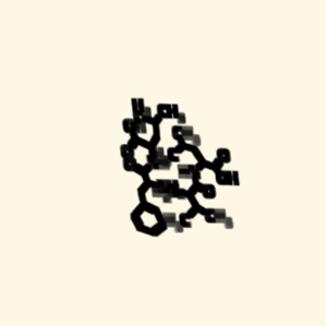 CC(C)CC(NC(=O)C(N)C(C)C)C(=O)O.CC(C)CC(NC(=O)C(N)Cc1ccccc1)C(=O)O